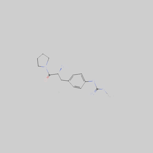 Cl.N=C(Nc1ccc(C[C@H](N)C(=O)N2CCCC2)cc1)N[N+](=O)[O-]